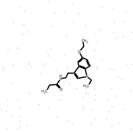 CCOc1ccc2c(c1)c(CCNC(=O)CC)cn2CC